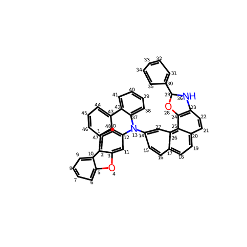 C1=C=c2c(oc3ccccc23)=CC=1N(c1ccc2ccc3ccc4c(c3c2c1)OC(c1ccccc1)N4)c1ccccc1C1=CC=CCC1